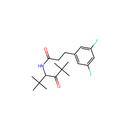 CC(C)(C)C(=O)C(NC(=O)CCc1cc(F)cc(F)c1)C(C)(C)C